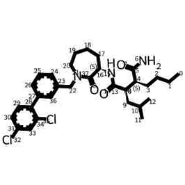 CCCC[C@H](C(N)=O)[C@@H](CC(C)C)C(=O)N[C@H]1CCCCN(Cc2cccc(-c3ccc(Cl)cc3Cl)c2)C1=O